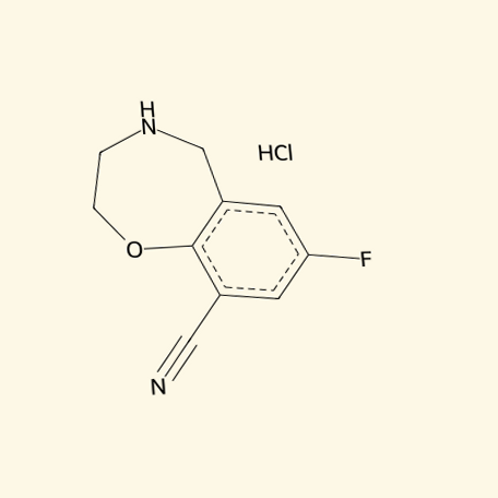 Cl.N#Cc1cc(F)cc2c1OCCNC2